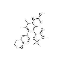 COC(=O)NC1C(C)=C(C(OC(C)(C)C)C(=O)OC)C(c2ccc3c(c2)CCCO3)=C(C)C1C